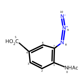 CC(=O)Nc1ccc(C(=O)O)cc1N=[N+]=[N-]